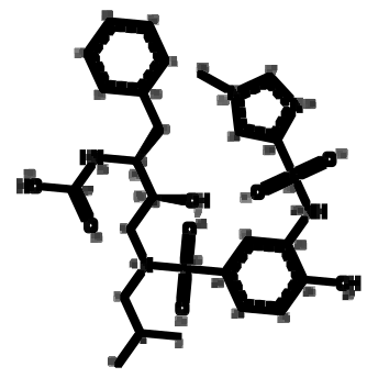 CC(C)CN(C[C@H](O)[C@H](Cc1ccccc1)NC(=O)O)S(=O)(=O)c1ccc(O)c(NS(=O)(=O)c2cn(C)cn2)c1